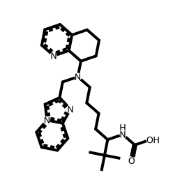 CC(C)(C)C(CCCCN(Cc1cn2ccccc2n1)C1CCCc2cccnc21)NC(=O)O